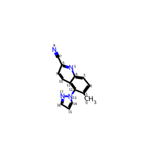 Cc1ccc2nc(C#N)ccc2c1-n1cccn1